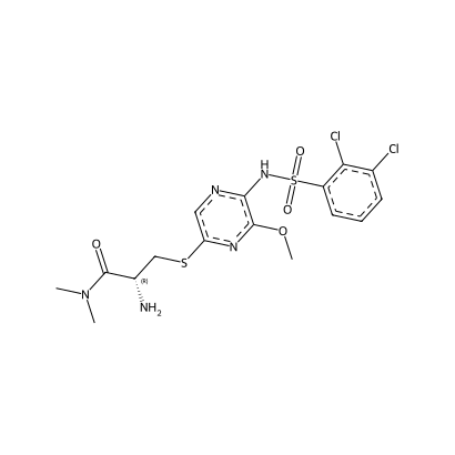 COc1nc(SC[C@H](N)C(=O)N(C)C)cnc1NS(=O)(=O)c1cccc(Cl)c1Cl